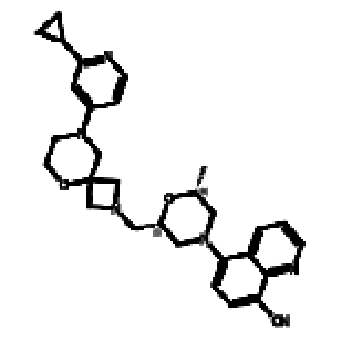 C[C@@H]1CN(c2ccc(C#N)c3ncccc23)C[C@H](CN2CC3(C2)CN(c2ccnc(C4CC4)c2)CCO3)O1